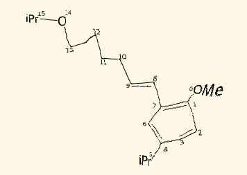 COc1ccc(C(C)C)cc1/C=C/CCCCOC(C)C